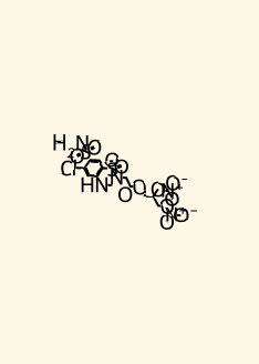 NS(=O)(=O)c1cc2c(cc1Cl)NCN(CC(=O)OC[C@H](CO[N+](=O)[O-])O[N+](=O)[O-])S2(=O)=O